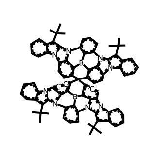 CC(C)(C)c1c2ccccc2n2c3ccc4c5c3n(c12)-c1cccc2c1B5c1c(ccc3c1n-2c1c(C(C)(C)C)c2ccccc2n31)C41c2ccc3c4c2B2c5c(cccc5-n5c6c2c1ccc6n1c2ccccc2c(C(C)(C)C)c51)-n4c1c(C(C)(C)C)c2ccccc2n31